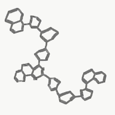 c1cc(-c2ccc(-c3nc(-c4ccc(-c5cccc(-c6cccc(-c7cccc8ccccc78)c6)c5)cc4)c4ccc5ccccc5c4n3)cc2)cc(-c2cccc(-c3cccc4ccccc34)c2)c1